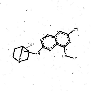 CC(C)Nc1nc(C#N)cc2cnc(N[C@H]3CN4CCC3CC4)nc12